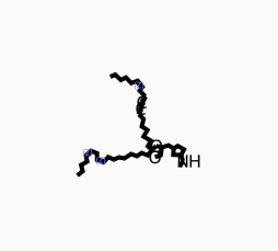 CCCC/C=C\C/C=C\CCCCCCCCC1(CCCCCCC=C=C=CC/C=C\CCCCC)OCC(CC2CCC(NC)C2)O1